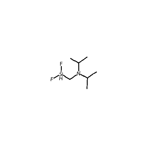 CC(C)N(C[SiH](F)F)C(C)C